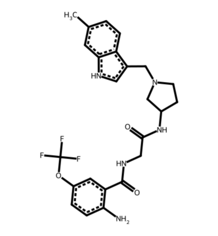 Cc1ccc2c(CN3CCC(NC(=O)CNC(=O)c4cc(OC(F)(F)F)ccc4N)C3)c[nH]c2c1